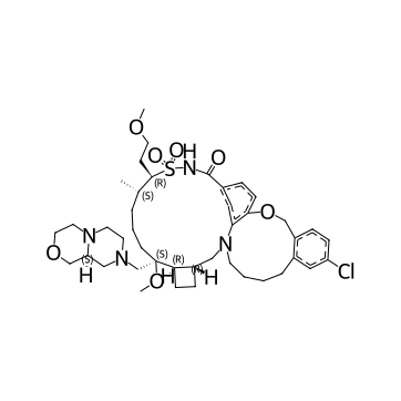 COCC[C@@H]1[C@@H](C)CCC[C@](CN2CCN3CCOC[C@@H]3C2)(OC)[C@@H]2CC[C@H]2CN2CCCCc3cc(Cl)ccc3COc3ccc(cc32)C(=O)NS1(=O)=O